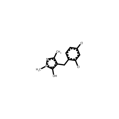 Cc1nn(C)c(O)c1Cc1ccc(Cl)cc1Cl